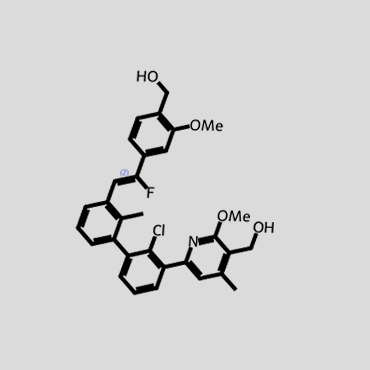 COc1cc(/C(F)=C/c2cccc(-c3cccc(-c4cc(C)c(CO)c(OC)n4)c3Cl)c2C)ccc1CO